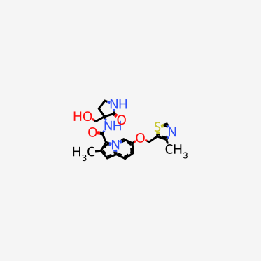 Cc1cc2ccc(OCc3scnc3C)cn2c1C(=O)NC1(CO)CCNC1=O